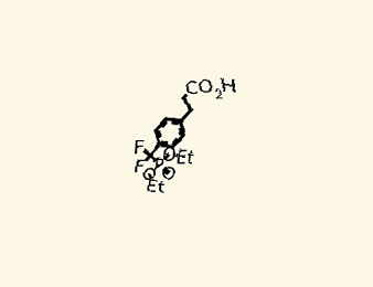 CCOP(=O)(OCC)C(F)(F)c1ccc(CCC(=O)O)cc1